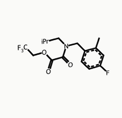 Cc1cc(F)ccc1CN(CC(C)C)C(=O)C(=O)OCC(F)(F)F